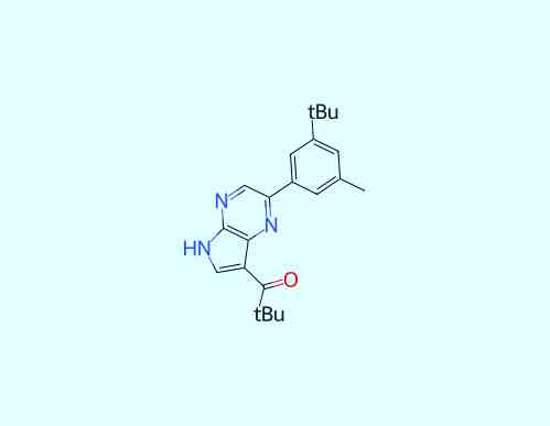 Cc1cc(-c2cnc3[nH]cc(C(=O)C(C)(C)C)c3n2)cc(C(C)(C)C)c1